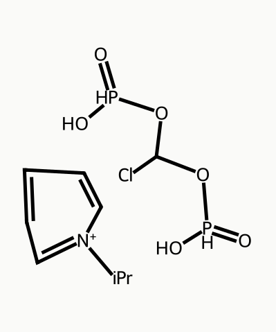 CC(C)[n+]1ccccc1.O=[PH](O)OC(Cl)O[PH](=O)O